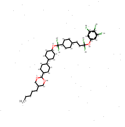 CCCCCC1COC(C2CCC(C3CCC(OC(F)(F)C4CCC(CCC(F)(F)Oc5cc(F)c(F)c(F)c5)CC4)CC3)CC2)OC1